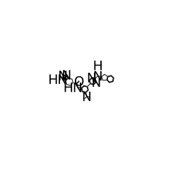 CN(C)c1cc(NC(=O)[C@H]2CCc3[nH]nnc3C2)cc(-c2cnc(NC3Cc4ccccc4C3)nc2)c1